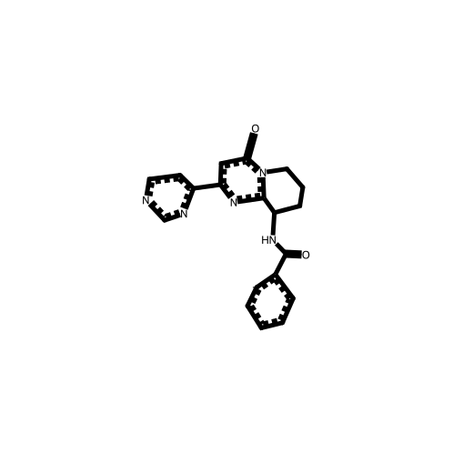 O=C(NC1CCCn2c1nc(-c1ccncn1)cc2=O)c1[c]cccc1